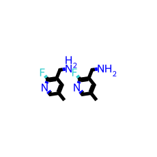 Cc1cnc(F)c(CN)c1.Cc1cnc(F)c(CN)c1